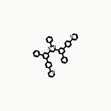 c1ccc(-c2cc(-c3ccc(-c4ccccn4)cc3)cc(-c3cc(-c4cc(-c5ccccc5)cc(-c5ccc(-c6ccccn6)cc5)c4)nc(-c4ccccc4)n3)c2)cc1